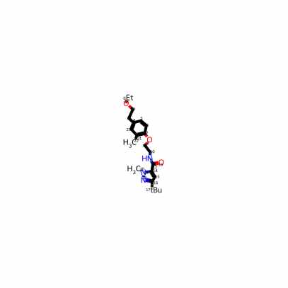 CCOCCc1ccc(OCCNC(=O)c2cc(C(C)(C)C)nn2C)c(C)c1